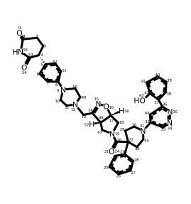 O=C1CC[C@H](c2ccc(N3CCN(CC4=NO[C@@H]5CN(C(=O)C6(c7ccccc7)CCN(c7cnnc(-c8ccccc8O)c7)CC6)C[C@H]45)CC3)cc2)C(=O)N1